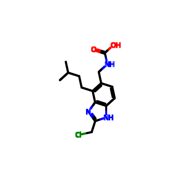 CC(C)CCc1c(CNC(=O)O)ccc2[nH]c(CCl)nc12